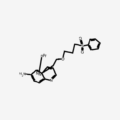 CCCC1N=C2C(N)=CC=C3N=CC=CC32N1CCOCCCS(=O)(=O)c1ccccc1